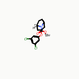 CC(C)(C)OC(=O)N1C2CC[C@@H]1C[C@H](Oc1cc(Cl)cc(Cl)c1)C2